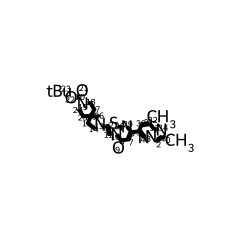 Cc1cn2nc(-c3cc(=O)n4cc(N5CCC6(CCN(C(=O)OC(C)(C)C)CC6)C5)sc4n3)cc(C)c2n1